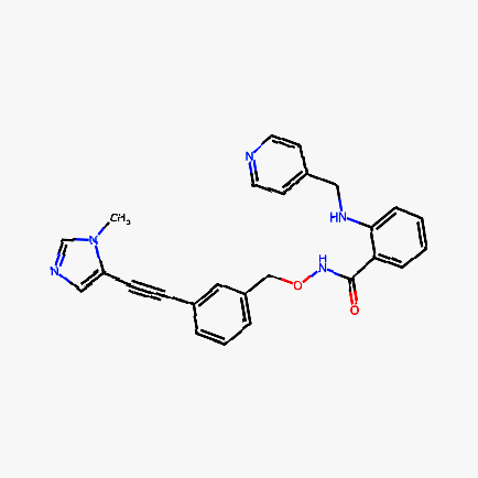 Cn1cncc1C#Cc1cccc(CONC(=O)c2ccccc2NCc2ccncc2)c1